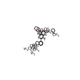 CN1CCC[C@H]1COc1nc(N2CC3CCC(C2)N3C(=O)OC(C)(C)C)c2cnc(-c3cccc4c3CCC4O[Si](C)(C)C(C)(C)C)c(F)c2n1